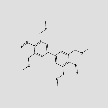 COCc1cc(-c2cc(COC)c(N=O)c(COC)c2)cc(COC)c1N=O